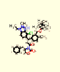 CCN1c2ccc([C@@H](CC(=O)N3C(=O)OC[C@H]3Cc3ccccc3)c3ccc(C)c(CO[Si](C)(C)C(C)(C)C)c3)c(Cl)c2NN1C